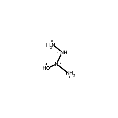 NNN(N)O